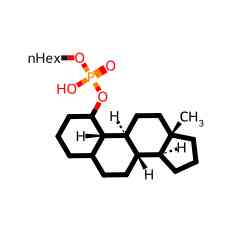 CCCCCCOP(=O)(O)OC1CCCC2CC[C@@H]3[C@H](CC[C@]4(C)CCC[C@@H]34)[C@H]21